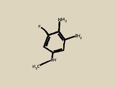 Bc1cc(BC)cc(F)c1N